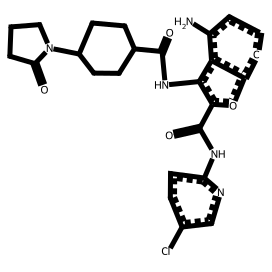 Nc1cccc2oc(C(=O)Nc3ccc(Cl)cn3)c(NC(=O)C3CCC(N4CCCC4=O)CC3)c12